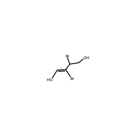 O/C=C(\Br)C(Br)CO